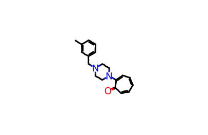 Cc1cccc(CN2CCN(c3cccccc3=O)CC2)c1